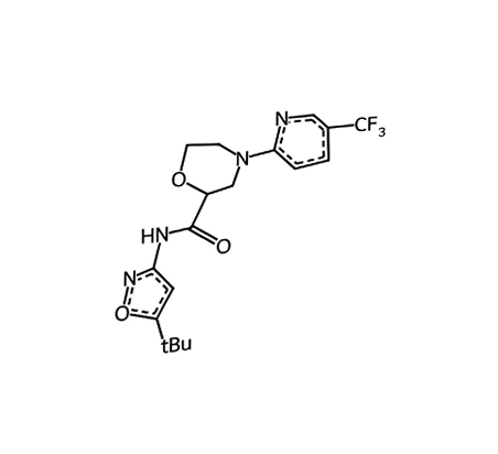 CC(C)(C)c1cc(NC(=O)C2CN(c3ccc(C(F)(F)F)cn3)CCO2)no1